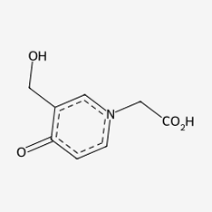 O=C(O)Cn1ccc(=O)c(CO)c1